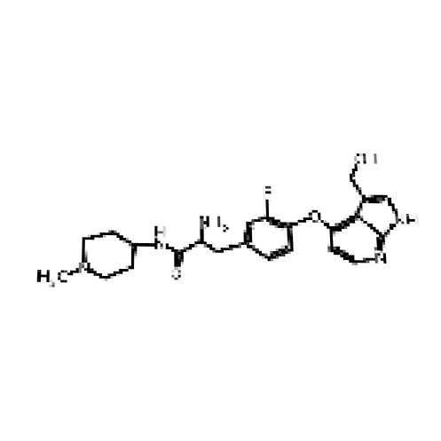 CN1CCC(NC(=O)C(N)Cc2ccc(Oc3ccnc4[nH]cc(CO)c34)c(F)c2)CC1